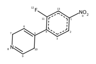 O=[N+]([O-])c1ccc(C2=CCN=CC2)c(F)c1